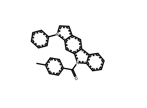 Cc1ccc(C(=O)n2c3ccccc3c3cc4ccn(-c5ccccc5)c4cc32)cc1